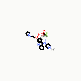 COc1cc2c(NC3CCN(C(C)C)CC3)c3c(nc2cc1OCCCN1CCCC1)CCCC3.O=C(O)C(F)(F)F